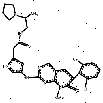 COn1c(=O)c(-c2c(Cl)cccc2Cl)cc2cnc(Nc3c[nH]c(CC(=O)NCC(C)N4CCCC4)c3)nc21